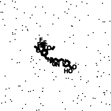 CCOc1cc(CN2CC3(CC(CN4CCC(C(=O)O)CC4)=NO3)C2)cc(OCC)c1C(F)(F)C(F)(F)F